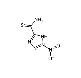 NC(=S)c1nn[n+]([N+](=O)[O-])[nH]1